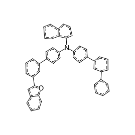 c1ccc(-c2cccc(-c3ccc(N(c4ccc(-c5cccc(-c6cc7ccccc7o6)c5)cc4)c4cccc5ccccc45)cc3)c2)cc1